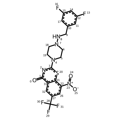 O=c1nc(N2CCN(NCc3cc(F)cc(F)c3)CC2)sc2c([N+](=O)[O-])cc(C(F)(F)F)cc12